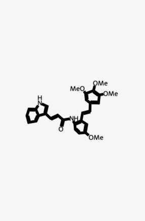 COc1ccc(NC(=O)/C=C/c2c[nH]c3ccccc23)c(/C=C/c2cc(OC)c(OC)c(OC)c2)c1